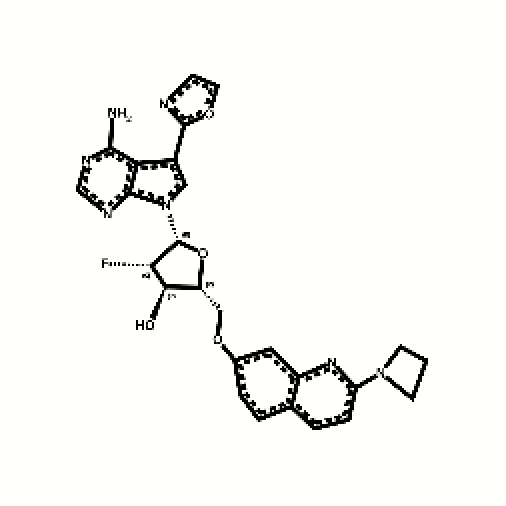 Nc1ncnc2c1c(-c1ncco1)cn2[C@@H]1O[C@H](COc2ccc3ccc(N4CCC4)nc3c2)[C@@H](O)[C@@H]1F